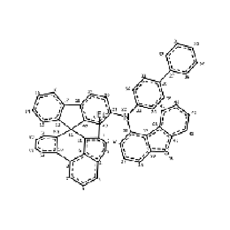 CCc1ccc2cccc3c2c1C1(c2ccccc2-c2ccc(N(c4ccc(-c5ccccc5)cc4)c4cccc5sc6ccccc6c45)cc21)c1ccccc1-3